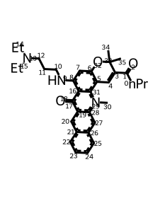 CCCC(=O)C1=Cc2c(cc(NCCCN(CC)CC)c3c(=O)c4cc5ccccc5cc4n(C)c23)OC1(C)C